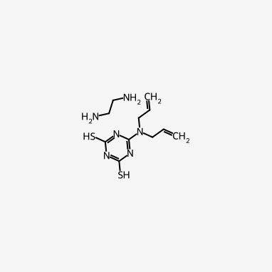 C=CCN(CC=C)c1nc(S)nc(S)n1.NCCN